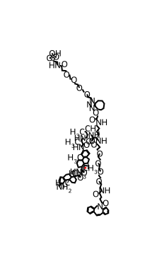 CC(C)[C@H](NC(=O)[C@@H](CCCCNC(=O)COC1CCCCCc2c1nnn2CCOCCOCCOCCOCCC(=O)NCCS(=O)(=O)O)NC(=O)CCOCCOCCOCCOCCNC(=O)CCC(=O)N1Cc2ccccc2/C=C\c2ccccc21)C(=O)N[C@@H](C)C(=O)Nc1ccc2c(c1)[C@@]1(C)CCC[C@](C)(C(=O)NC(=O)[C@@]3(C)CCC[C@]4(C)c5cc(N)ccc5CC[C@@H]34)[C@@H]1CC2